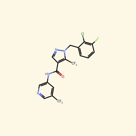 O=C(Nc1cncc(C(F)(F)F)c1)c1cnn(Cc2cccc(F)c2Cl)c1C(F)(F)F